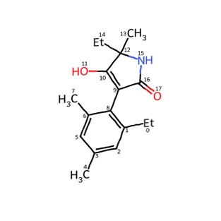 CCc1cc(C)cc(C)c1C1=C(O)C(C)(CC)NC1=O